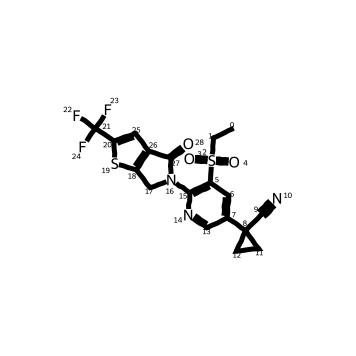 CCS(=O)(=O)c1cc(C2(C#N)CC2)cnc1N1Cc2sc(C(F)(F)F)cc2C1=O